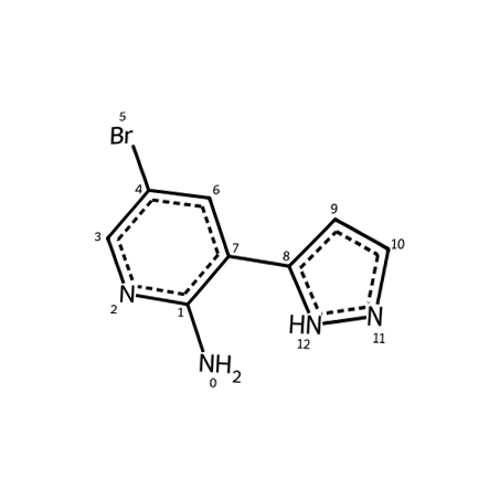 Nc1ncc(Br)cc1-c1ccn[nH]1